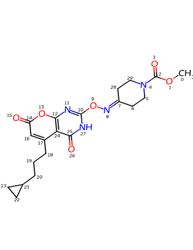 COC(=O)N1CCC(=NOc2nc3oc(=O)cc(CCCC4CC4)c3c(=O)[nH]2)CC1